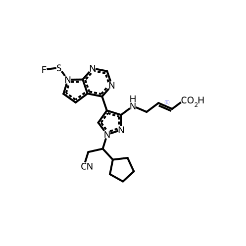 N#CCC(C1CCCC1)n1cc(-c2ncnc3c2ccn3SF)c(NC/C=C/C(=O)O)n1